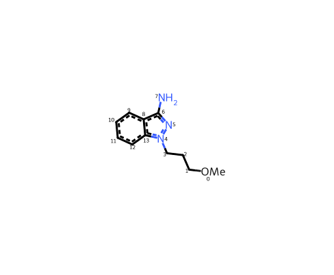 COCCCn1nc(N)c2ccccc21